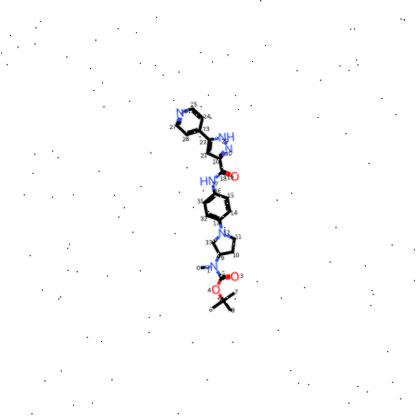 CN(C(=O)OC(C)(C)C)C1CCN(c2ccc(NC(=O)c3cc(-c4ccncc4)[nH]n3)cc2)C1